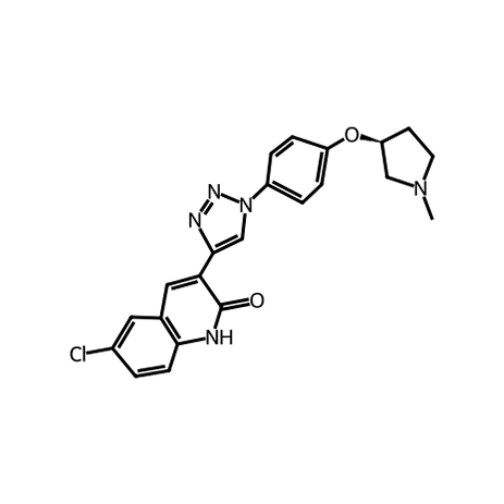 CN1CC[C@H](Oc2ccc(-n3cc(-c4cc5cc(Cl)ccc5[nH]c4=O)nn3)cc2)C1